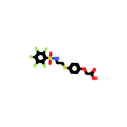 O=C(O)COc1ccc(SCCNS(=O)(=O)c2c(F)c(F)c(F)c(F)c2F)cc1